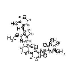 COc1nc(-c2cccc(-c3cccc(NC(=O)c4nn(C)c(=O)n(C)c4=O)c3Cl)c2Cl)cc2c1C(N[C@@H]1CCOC[C@H]1O)CC2